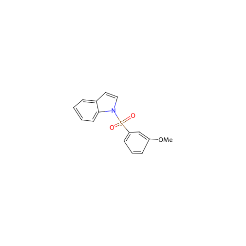 COc1cccc(S(=O)(=O)n2ccc3ccccc32)c1